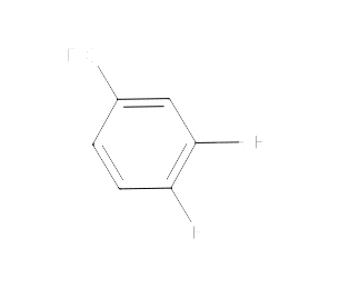 C[CH]c1ccc(C(F)(F)F)cc1C(F)(F)F